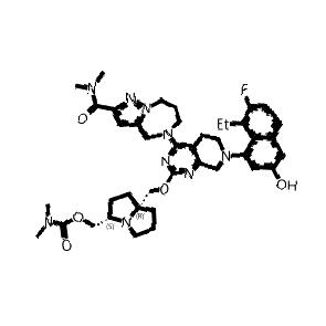 CCc1c(F)ccc2cc(O)cc(N3CCc4c(nc(OC[C@]56CCCN5[C@H](COC(=O)N(C)C)CC6)nc4N4CCCn5nc(C(=O)N(C)C)cc5C4)C3)c12